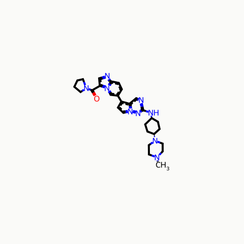 CN1CCN([C@H]2CC[C@H](Nc3ncc4c(-c5ccc6ncc(C(=O)N7CCCC7)n6c5)ccn4n3)CC2)CC1